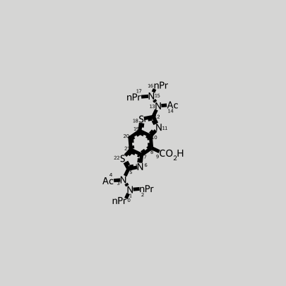 CCCN(CCC)N(C(C)=O)c1nc2c(C(=O)O)c3nc(N(C(C)=O)N(CCC)CCC)sc3cc2s1